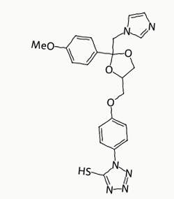 COc1ccc(C2(Cn3ccnc3)OCC(COc3ccc(-n4nnnc4S)cc3)O2)cc1